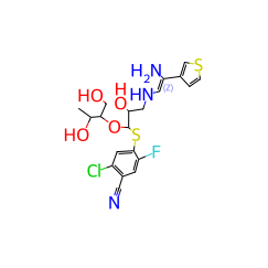 CC(O)C(CO)OC(Sc1cc(Cl)c(C#N)cc1F)C(O)CN/C=C(\N)c1ccsc1